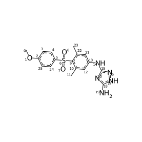 COc1ccc(S(=O)(=O)c2c(C)cc(Nc3n[nH]c(N)n3)cc2C)cc1